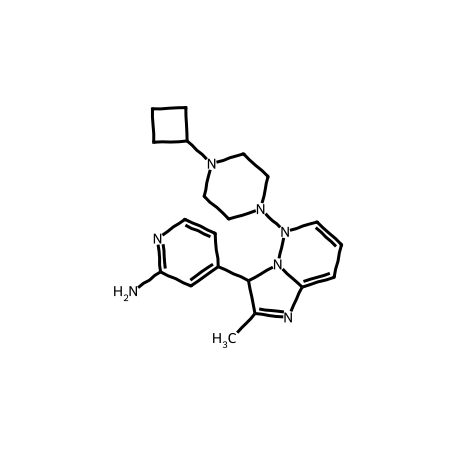 CC1=NC2=CC=CN(N3CCN(C4CCC4)CC3)N2C1c1ccnc(N)c1